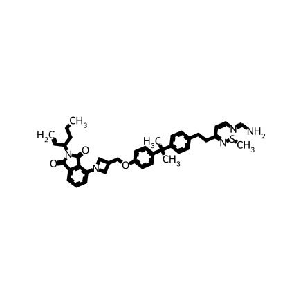 C=CC(CCC)N1C(=O)c2cccc(N3CC(COc4ccc(C(C)(C)c5ccc(CCC(/C=C\N=C\N)=N/SC)cc5)cc4)C3)c2C1=O